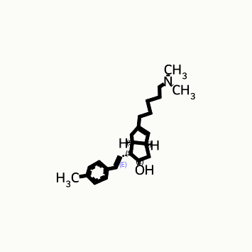 Cc1ccc(/C=C/[C@@H]2[C@H]3CC(CCCCCN(C)C)=C[C@H]3C[C@H]2O)cc1